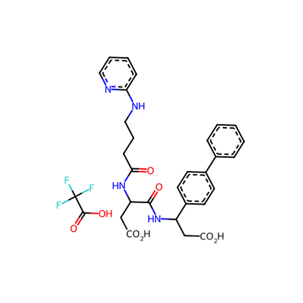 O=C(O)C(F)(F)F.O=C(O)CC(NC(=O)CCCNc1ccccn1)C(=O)NC(CC(=O)O)c1ccc(-c2ccccc2)cc1